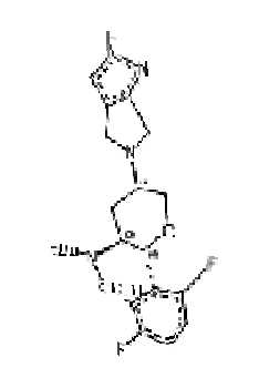 CC(C)(C)N(C(=O)O)[C@H]1C[C@@H](N2Cc3c[nH]nc3C2)CO[C@@H]1c1cc(F)ccc1F